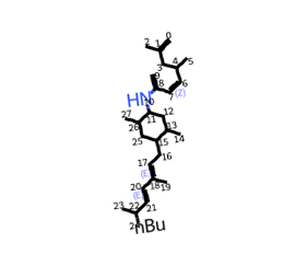 C=C(C)CC(C)/C=C\C(=C)NC1CC(C)C(C/C=C(C)/C=C/C(C)CCCC)CC1C